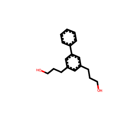 OCCCc1cc(CCCO)cc(-c2ccccc2)c1